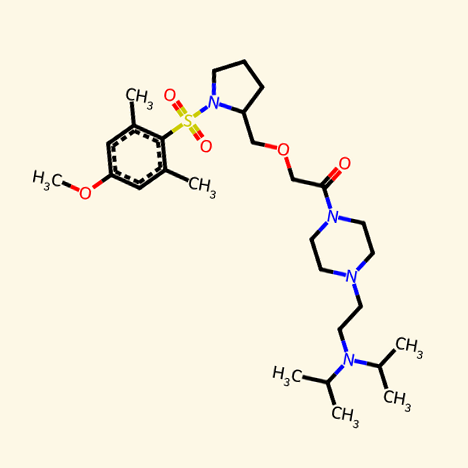 COc1cc(C)c(S(=O)(=O)N2CCCC2COCC(=O)N2CCN(CCN(C(C)C)C(C)C)CC2)c(C)c1